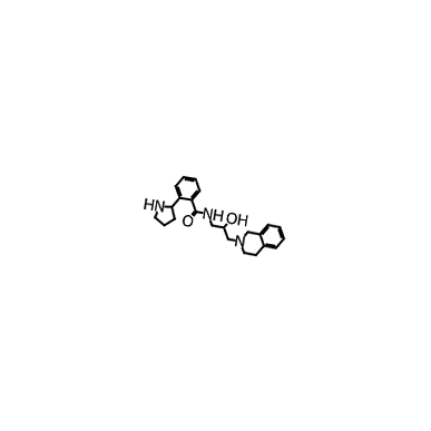 O=C(NCC(O)CN1CCc2ccccc2C1)c1ccccc1C1CCCN1